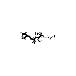 CCOC(=O)C(O)C(=O)CC(CCc1ccsc1)C(C)C